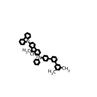 Cc1cc(C)cc(-c2cccc(-c3ccc(N(c4ccccc4)c4ccc5c(c4)C(C)(C)c4cc(-n6c7ccccc7c7ccccc76)ccc4-5)cc3)c2)c1